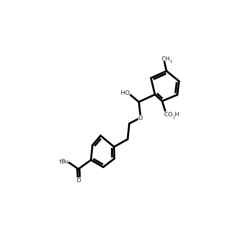 Cc1ccc(C(=O)O)c(C(O)OCCc2ccc(C(=O)C(C)(C)C)cc2)c1